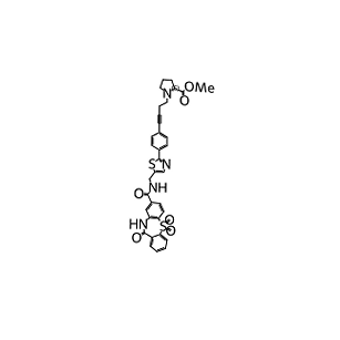 COC(=O)[C@@H]1CCCN1CCC#Cc1ccc(-c2ncc(CNC(=O)c3ccc4c(c3)NC(=O)c3ccccc3S4(=O)=O)s2)cc1